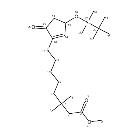 COC(=O)CC(C)(C)CCCCSC1=CC(O[Si](C)(C)C(C)(C)C)CC1=O